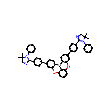 CC1(C)CN=C(c2ccc(-c3ccc4c(c3)Oc3cccc5c3B4c3ccc(-c4ccc(C6=NCC(C)(C)N6c6ccccc6)cc4)cc3O5)cc2)N1c1ccccc1